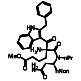 CCCCCCCCC[C@@H](CC(N)=O)N(CCC)C(=O)[C@](N)(CCCC(=O)OC)C(=O)c1c(Cc2ccccc2)[nH]c2ccccc12